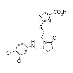 O=C(O)c1csc(SCCN2C(=O)CC[C@@H]2CNc2ccc(Cl)c(Cl)c2)n1